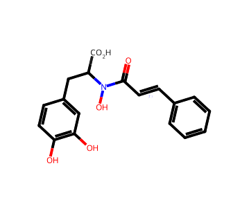 O=C(O)C(Cc1ccc(O)c(O)c1)N(O)C(=O)/C=C/c1ccccc1